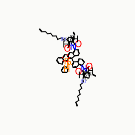 C=CCCCCCC/C=C/[C@@H]1C[C@H](C=C)[C@@H]2C(=O)N(c3cccc4c(-c5c(P(c6ccccc6)c6ccccc6)ccc6c(N7C(=O)[C@@H]8[C@H](C7=O)[C@H](C=C)C[C@@H]8/C=C/CCCCCCC=C)cccc56)c(Pc5ccccc5)ccc34)C(=O)[C@@H]21